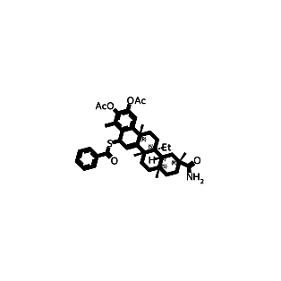 CC[C@@]12CC[C@]3(C)C(=CC(SC(=O)c4ccccc4)c4c3cc(OC(C)=O)c(OC(C)=O)c4C)[C@@]1(C)CC[C@@]1(C)CC[C@@](C)(C(N)=O)C[C@H]12